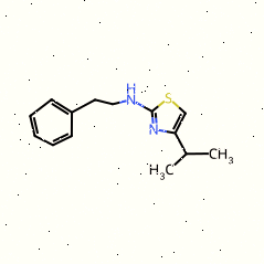 CC(C)c1csc(NCCc2ccccc2)n1